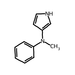 CN(c1ccccc1)c1cc[nH]c1